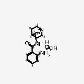 Cl.Cl.Nc1ccccc1C(=O)NC1CN2CCC1CC2